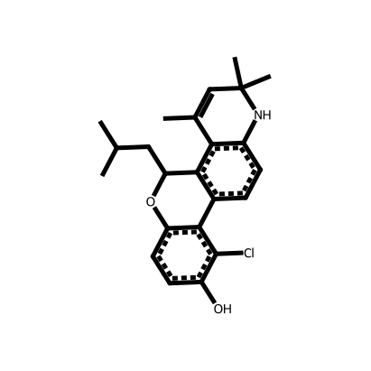 CC1=CC(C)(C)Nc2ccc3c(c21)C(CC(C)C)Oc1ccc(O)c(Cl)c1-3